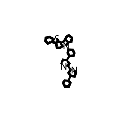 c1ccc(-c2ccnc(-c3cc(-c4cccc(-n5c6ccccc6c6c7sc8ccccc8c7ccc65)c4)ccn3)c2)cc1